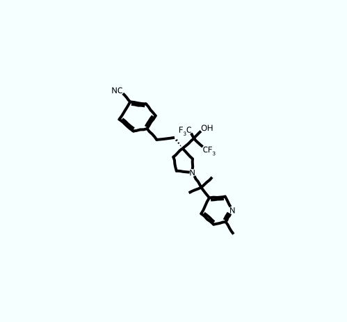 Cc1ccc(C(C)(C)N2CC[C@@](CCc3ccc(C#N)cc3)(C(O)(C(F)(F)F)C(F)(F)F)C2)cn1